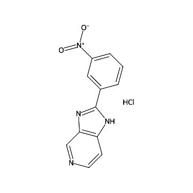 Cl.O=[N+]([O-])c1cccc(-c2nc3cnccc3[nH]2)c1